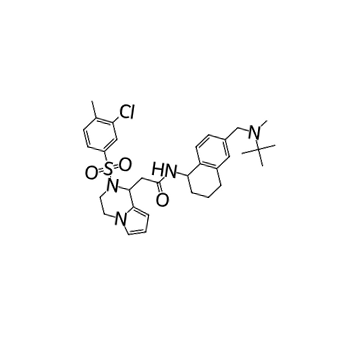 Cc1ccc(S(=O)(=O)N2CCn3cccc3C2CC(=O)NC2CCCc3cc(CN(C)C(C)(C)C)ccc32)cc1Cl